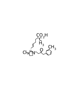 Cc1cccc(CC(=O)CCN2CC[C@@H](Cl)[C@@H]2CC=CCCC(C)C(=O)O)c1